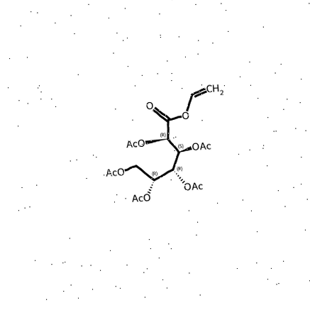 C=COC(=O)[C@H](OC(C)=O)[C@@H](OC(C)=O)[C@H](OC(C)=O)[C@@H](COC(C)=O)OC(C)=O